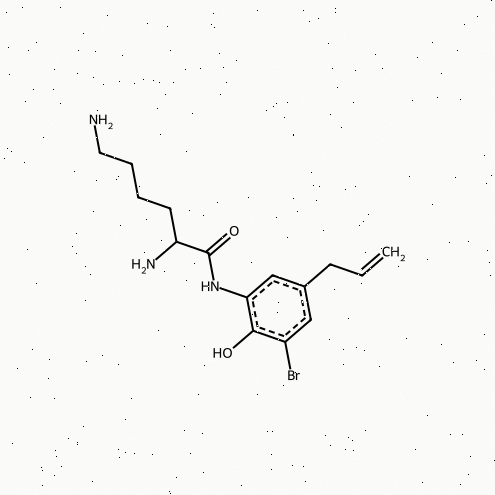 C=CCc1cc(Br)c(O)c(NC(=O)C(N)CCCCN)c1